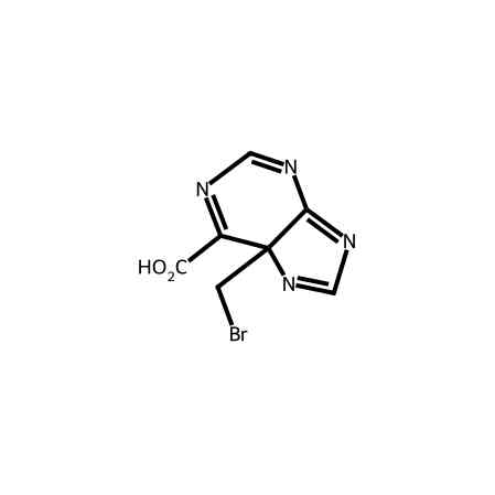 O=C(O)C1=NC=NC2=NC=NC21CBr